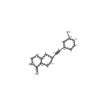 O=c1[nH]cnc2cc(C#Cc3cccc(F)c3)ccc12